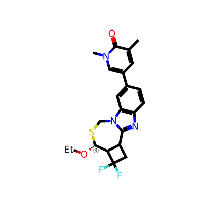 CCO[C@@H]1SCn2c(nc3ccc(-c4cc(C)c(=O)n(C)c4)cc32)C2CC(F)(F)C21